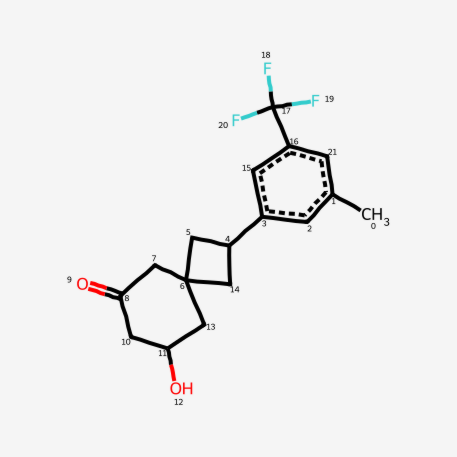 Cc1cc(C2CC3(CC(=O)CC(O)C3)C2)cc(C(F)(F)F)c1